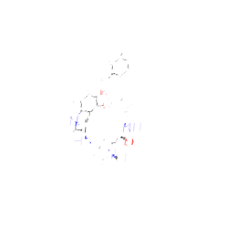 CN1CCC2CC1(C)C(=O)NCC(I)COc1c(OCc3ccccc3)ccc3ncc(cc13)N2